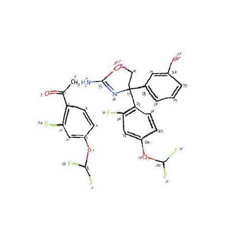 CC(=O)c1ccc(OC(F)F)cc1F.NC1=NC(c2cccc(Br)c2)(c2ccc(OC(F)F)cc2F)CO1